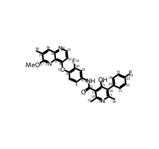 COc1nc2c(Oc3ccc(NC(=O)c4c(C)nc(C)c(-c5ccc(F)cc5)c4O)cc3F)ccnc2cc1C